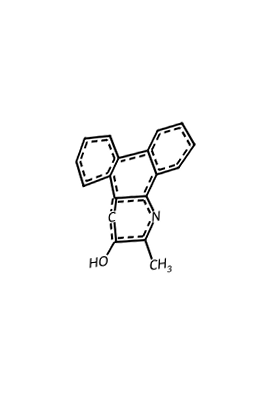 Cc1nc2c3ccccc3c3ccccc3c2cc1O